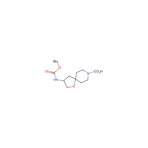 CC(C)(C)OC(=O)NC1COC2(CCN(C(=O)O)CC2)C1